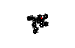 c1cncc(-c2cccc(-n3c4ccccc4c4cccc(-c5cc(N(c6ccc7oc8ccccc8c7c6)c6ccc7sc8c9ccccc9ccc8c7c6)c6oc7ccccc7c6c5)c43)c2)c1